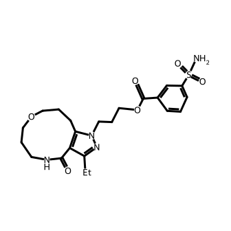 CCc1nn(CCCOC(=O)c2cccc(S(N)(=O)=O)c2)c2c1C(=O)NCCCOCCC2